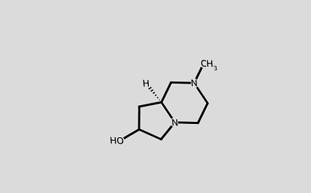 CN1CCN2CC(O)C[C@H]2C1